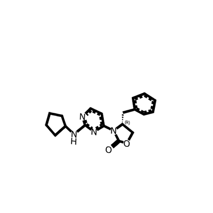 O=C1OC[C@@H](Cc2ccccc2)N1c1ccnc(NC2CCCC2)n1